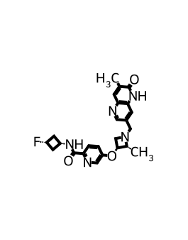 Cc1cc2ncc(CN3C[C@H](Oc4ccc(C(=O)N[C@H]5C[C@@H](F)C5)nc4)[C@H]3C)cc2[nH]c1=O